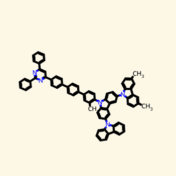 Cc1ccc2c(c1)c1cc(C)ccc1n2-c1ccc2c(c1)c1cc(-n3c4ccccc4c4ccccc43)ccc1n2-c1ccc(-c2ccc(-c3ccc(-c4cc(-c5ccccc5)nc(-c5ccccc5)n4)cc3)cc2)cc1C